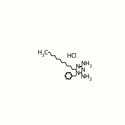 CCCCCCCCCCCC1N=C(N)N=C(N)N1Cc1ccccc1.Cl